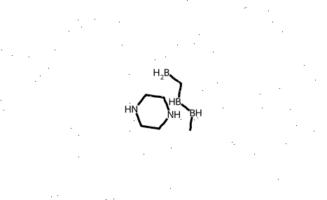 BCBBC.C1CNCCN1